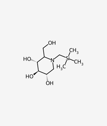 C[Si](C)(C)CN1C[C@H](O)[C@@H](O)[C@H](O)C1CO